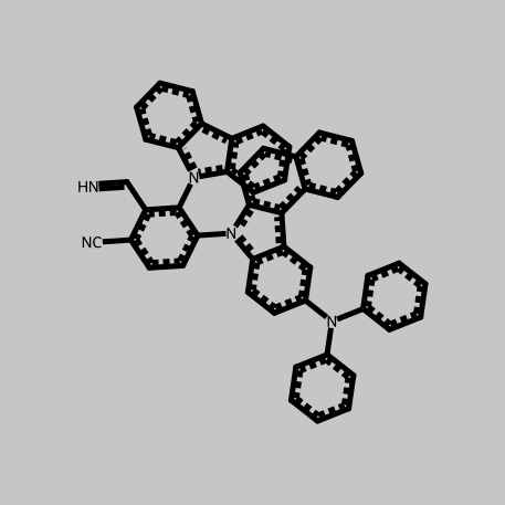 N#Cc1ccc(-n2c3ccc(N(c4ccccc4)c4ccccc4)cc3c3c4ccccc4ccc32)c(-n2c3ccccc3c3ccccc32)c1C=N